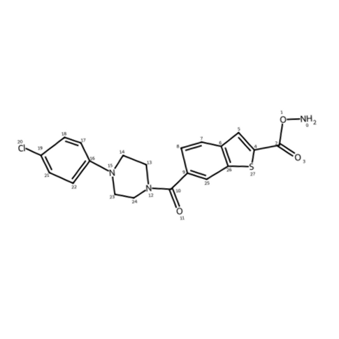 NOC(=O)c1cc2ccc(C(=O)N3CCN(c4ccc(Cl)cc4)CC3)cc2s1